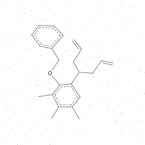 C=CCC(CC=C)c1cc(C)c(C)c(C)c1OCc1ccccc1